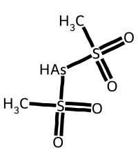 CS(=O)(=O)[AsH]S(C)(=O)=O